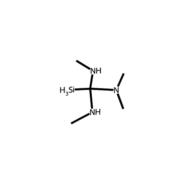 CNC([SiH3])(NC)N(C)C